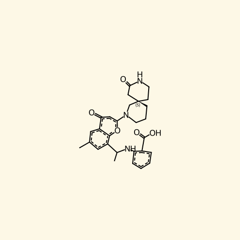 Cc1cc(C(C)Nc2ccccc2C(=O)O)c2oc(N3CCC[C@@]4(CCNC(=O)C4)C3)cc(=O)c2c1